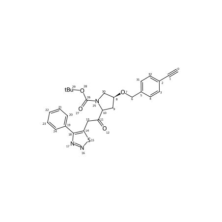 C#Cc1ccc(CO[C@H]2CC(C(=O)Cc3snnc3-c3ccccc3)N(C(=O)OC(C)(C)C)C2)cc1